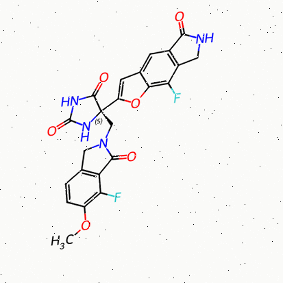 COc1ccc2c(c1F)C(=O)N(C[C@@]1(c3cc4cc5c(c(F)c4o3)CNC5=O)NC(=O)NC1=O)C2